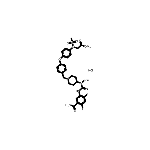 CCCCN(C(=O)Nc1cc(C(N)=O)c(F)cc1F)C1CCN(Cc2ccc(Oc3ccc(N(CC(=O)OC)S(C)(=O)=O)cc3)cc2)CC1.Cl